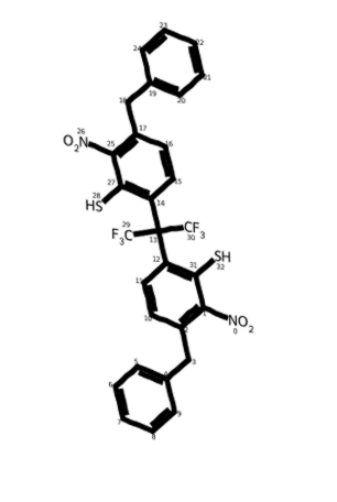 O=[N+]([O-])c1c(Cc2ccccc2)ccc(C(c2ccc(Cc3ccccc3)c([N+](=O)[O-])c2S)(C(F)(F)F)C(F)(F)F)c1S